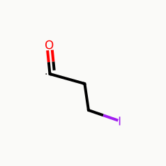 O=[C]CCI